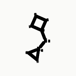 C1CC(SB2CC2)C1